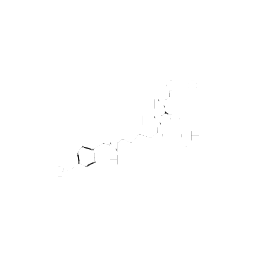 O=CCNC(=O)N[C@@H](CCCCNCc1ccc(Br)cc1)C(=O)O